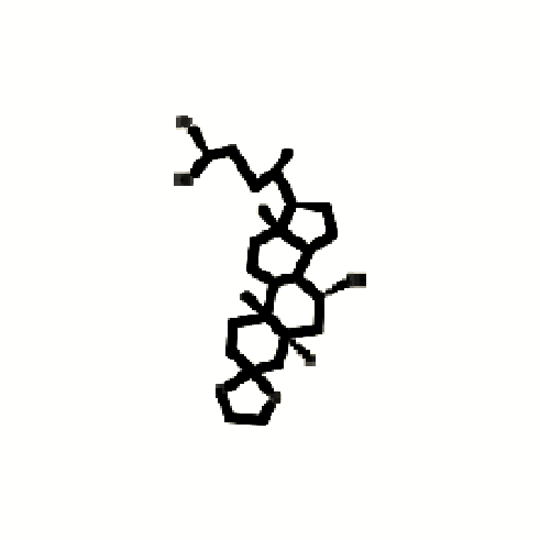 CC(C)[C@H](O)CC[C@@H](C)[C@H]1CCC2C3C(CC[C@@]21C)[C@@]1(C)CCC2(C[C@@H]1C[C@H]3O)OCCO2